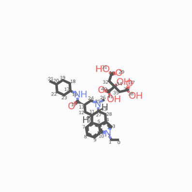 CCn1cc2c3c(cccc31)[C@@H]1C[C@@H](C(=O)NC3CCC(C)CC3)CN(C)[C@@H]1C2.O=C(O)CC(O)(CC(=O)O)C(=O)O